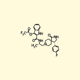 C[C@@H](CN1CCC2(CC1)C(=O)NC[C@@H]2c1ccc(F)cc1)NC(=O)c1[nH]c2ccccc2c1OC(=O)C(F)(F)F